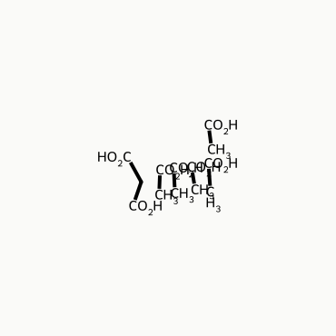 CC(=O)O.CC(=O)O.CC(=O)O.CC(=O)O.CC(=O)O.O=C(O)CC(=O)O